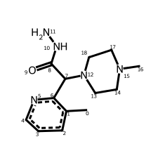 Cc1cccnc1C(C(=O)NN)N1CCN(C)CC1